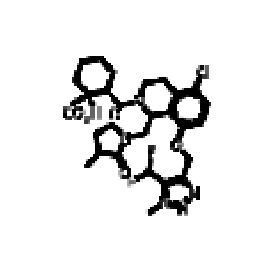 CC1CCN(C[C@@H]2c3c(OCc4nnn(C)c4C(F)F)ccc(Cl)c3CCN2C(=O)[C@@H]2CCCC[C@]2(C)C(=O)O)C1=O